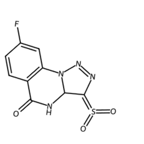 O=C1NC2C(=S(=O)=O)N=NN2c2cc(F)ccc21